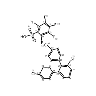 O=S(=O)(O)c1c(F)c(F)c(F)c(F)c1F.Sc1cccc(-c2ccc(Cl)cc2)c1-c1ccc(Cl)cc1